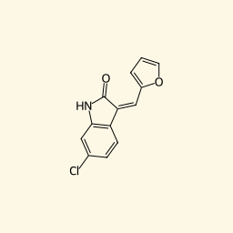 O=C1Nc2cc(Cl)ccc2C1=Cc1ccco1